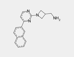 NCC1CN(c2nccc(-c3ccc4ccccc4c3)n2)C1